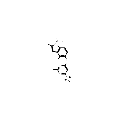 Cc1nc(Oc2ccc3c(cc(C)n3C(=O)O)c2F)cc(S(C)(=O)=O)n1